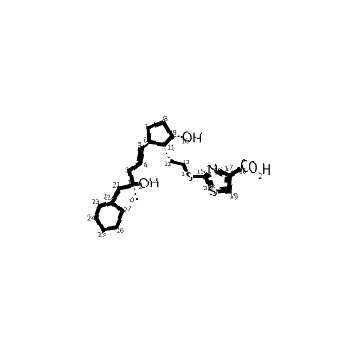 C[C@@](O)(C/C=C/[C@H]1CC[C@H](O)[C@@H]1CCSc1nc(C(=O)O)cs1)CC1CCCCC1